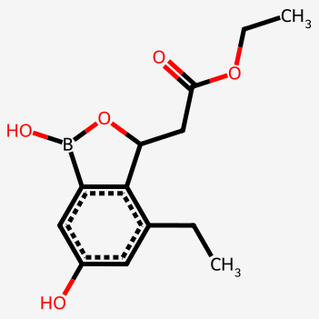 CCOC(=O)CC1OB(O)c2cc(O)cc(CC)c21